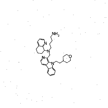 NCCCCN(Cc1nccc2c3ccccc3n(CCC3CCOCC3)c12)C1CCCc2cccnc21